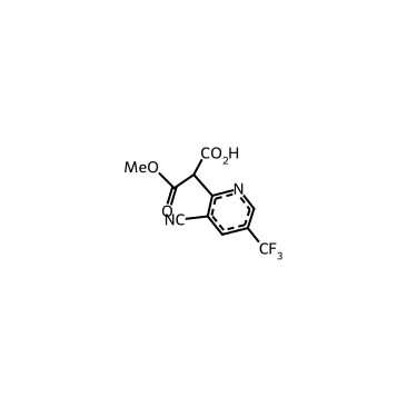 COC(=O)C(C(=O)O)c1ncc(C(F)(F)F)cc1C#N